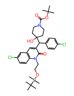 CC(C)(C)OC(=O)N1CCC(O)(C(c2ccc(Cl)cc2)c2cc3cc(Cl)ccc3n(CCO[Si](C)(C)C(C)(C)C)c2=O)CC1